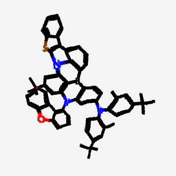 Cc1cc(C(C)(C)C)ccc1N(c1ccc2c(c1)N(c1cccc3oc4ccccc4c13)c1cc(C(C)(C)C)cc3c1B2c1cccc2c4c5ccccc5sc4n-3c12)c1ccc(C(C)(C)C)cc1C